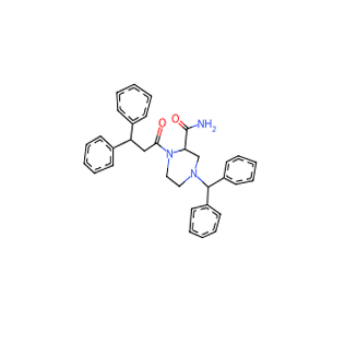 NC(=O)C1CN(C(c2ccccc2)c2ccccc2)CCN1C(=O)CC(c1ccccc1)c1ccccc1